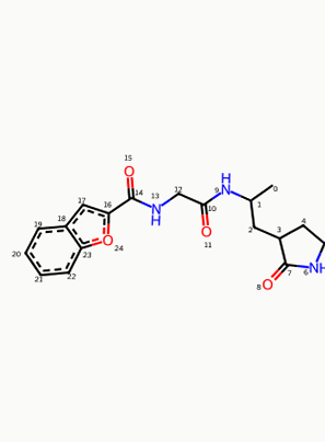 CC(CC1CCNC1=O)NC(=O)CNC(=O)c1cc2ccccc2o1